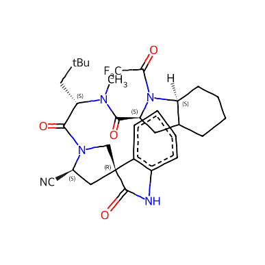 CN(C(=O)[C@@H]1CC2CCCC[C@@H]2N1C(=O)C(F)(F)F)[C@@H](CC(C)(C)C)C(=O)N1C[C@]2(C[C@H]1C#N)C(=O)Nc1ccccc12